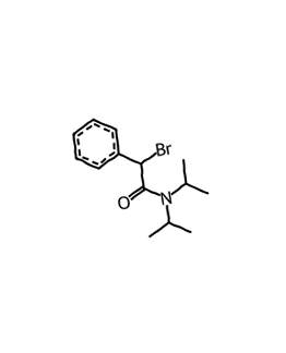 CC(C)N(C(=O)C(Br)c1ccccc1)C(C)C